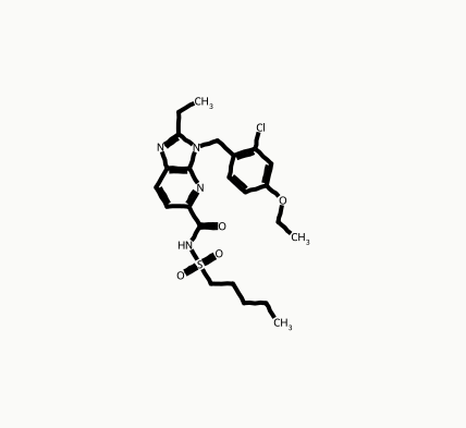 CCCCCS(=O)(=O)NC(=O)c1ccc2nc(CC)n(Cc3ccc(OCC)cc3Cl)c2n1